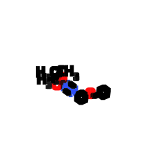 CC(C)(C)OC(=O)N1CCN(c2cccc(OCc3ccccc3)c2)CC1